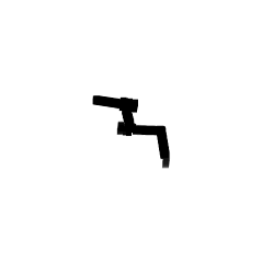 CPPCI